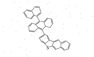 C1=CCC2C(=C1)C(c1cccc3ccccc13)=c1ccccc1=C2c1ccc2sc3cc4ccccc4cc3c2c1